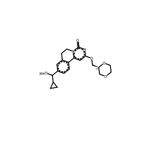 COC(c1ccc2c(c1)CCn1c-2cc(OC[C@@H]2COCCO2)nc1=O)C1CC1